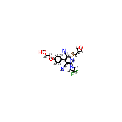 N#Cc1c(SCC2COC2)nc(N2CC(F)(F)C2)c(C#N)c1-c1ccc(OCCO)cc1